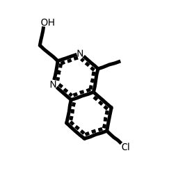 Cc1nc(CO)nc2ccc(Cl)cc12